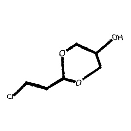 OC1COC(CCCl)OC1